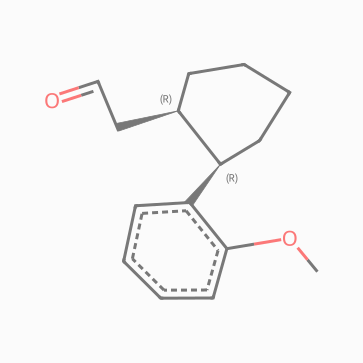 COc1ccccc1[C@@H]1CCCC[C@@H]1CC=O